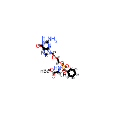 CCCCOC(=O)[C@H](C)NP(=O)(OCCOCn1cnc2c(=O)[nH]c(N)nc21)Oc1ccccc1